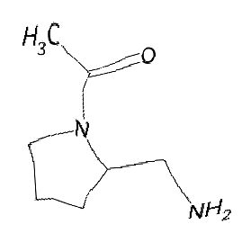 CC(=O)N1CCCC1CN